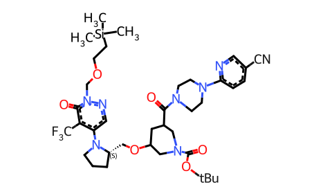 CC(C)(C)OC(=O)N1CC(OC[C@@H]2CCCN2c2cnn(COCC[Si](C)(C)C)c(=O)c2C(F)(F)F)CC(C(=O)N2CCN(c3ccc(C#N)cn3)CC2)C1